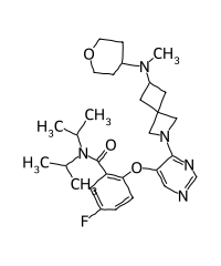 CC(C)N(C(=O)c1cc(F)ccc1Oc1cncnc1N1CC2(CC(N(C)C3CCOCC3)C2)C1)C(C)C